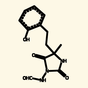 CC1(CCc2ccccc2O)NC(=O)N(NC=O)C1=O